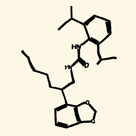 CCCCCC(CNC(=O)Nc1c(C(C)C)cccc1C(C)C)c1cccc2c1OCO2